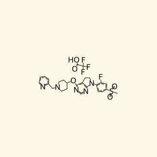 CS(=O)(=O)c1ccc(N2CCc3c(OC4CCN(Cc5ccccn5)CC4)ncnc32)c(F)c1.O=C(O)C(F)(F)F